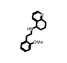 COc1ccccc1CCNC1CCCc2ncccc21